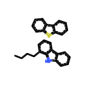 CCCCc1cccc2c1[nH]c1ccccc12.c1ccc2c(c1)sc1ccccc12